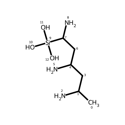 CC(N)CC(N)CC(N)[Si](O)(O)O